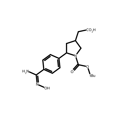 CC(C)(C)OC(=O)N1CC(CC(=O)O)CC1c1ccc(/C(N)=N\O)cc1